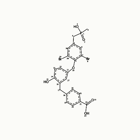 CP(=O)(O)Cc1cc(Br)c(Oc2ccc(O)c(Cc3ccc(C(=O)O)cc3)c2)c(Br)c1